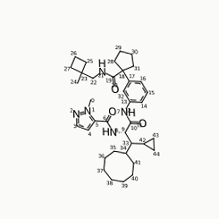 Cn1nccc1C(=O)N[C@H](C(=O)Nc1cccc(C2(C(=O)NCC3(C)CCC3)CCCC2)c1)C(C1CCCCCCC1)C1CC1